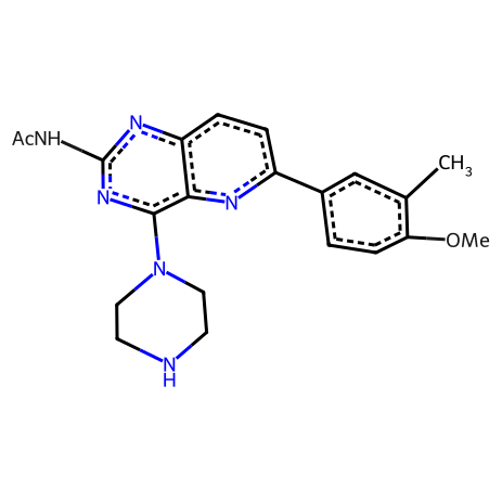 COc1ccc(-c2ccc3nc(NC(C)=O)nc(N4CCNCC4)c3n2)cc1C